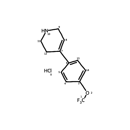 Cl.FC(F)(F)Oc1ccc(C2=CCNCC2)cc1